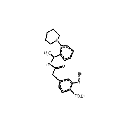 CCOC(=O)c1ccc(CC(=O)NC(C)c2ccccc2N2CCCCC2)cc1OCC